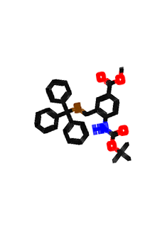 COC(=O)c1ccc(NC(=O)OC(C)(C)C)c(CSC(c2ccccc2)(c2ccccc2)c2ccccc2)c1